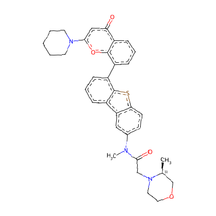 C[C@H]1COCCN1CC(=O)N(C)c1ccc2sc3c(-c4cccc5c(=O)cc(N6CCCCC6)oc45)cccc3c2c1